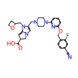 N#Cc1ccc(COc2cccc(N3CCN(CC4=CN5CC(C(=O)O)C=C5N4CC4CCO4)CC3)n2)c(F)c1